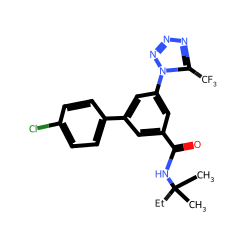 CCC(C)(C)NC(=O)c1cc(-c2ccc(Cl)cc2)cc(-n2nnnc2C(F)(F)F)c1